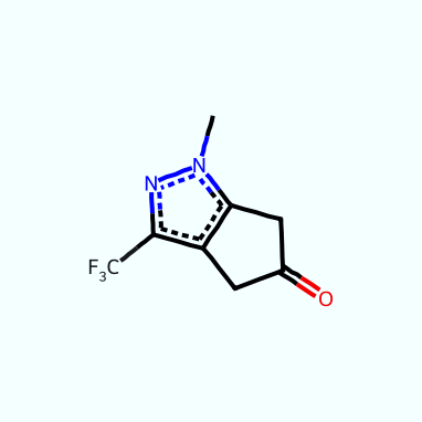 Cn1nc(C(F)(F)F)c2c1CC(=O)C2